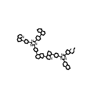 C=C/C=C\c1cc(-c2nc(-c3ccc(-c4cccc5c(-c6ccc7c(-c8ccc(-c9nc(-c%10ccc(-c%11cccc%12ccccc%11%12)cc%10)nc(-c%10ccc(-c%11cccc%12cccnc%11%12)cc%10)n9)cc8)cccc7c6)ccnc45)cc3)nc(-c3ccc4ccccc4c3)n2)ccc1C